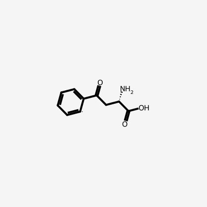 N[C@@H](CC(=O)c1[c]cccc1)C(=O)O